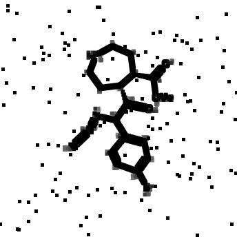 COC(=O)[C@@H]1CCPCC[C@H]1C(=O)C(N=[N+]=[N-])c1ccc(Br)cc1